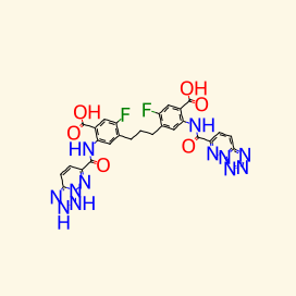 O=C(Nc1cc(CCCc2cc(NC(=O)c3ccc4nnnn4n3)c(C(=O)O)cc2F)c(F)cc1C(=O)O)C1=NN2NNN=C2C=C1